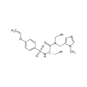 C=COc1ccc(S(=O)(=O)N[C@@H](CC(C)C)C(=O)N(Cc2cncn2C)CC(C)C)cc1